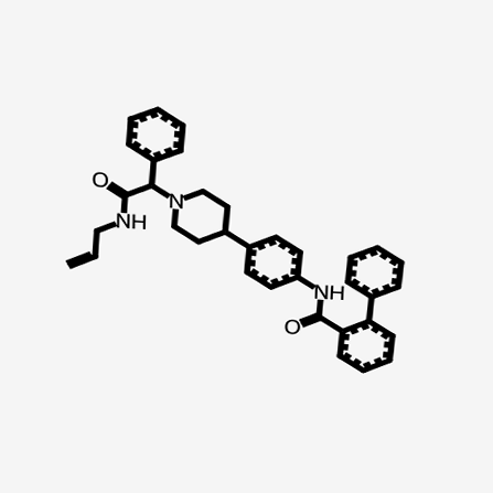 C=CCNC(=O)C(c1ccccc1)N1CCC(c2ccc(NC(=O)c3ccccc3-c3ccccc3)cc2)CC1